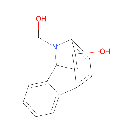 OCN1c2ccc3c(c2O)C1c1ccccc1-3